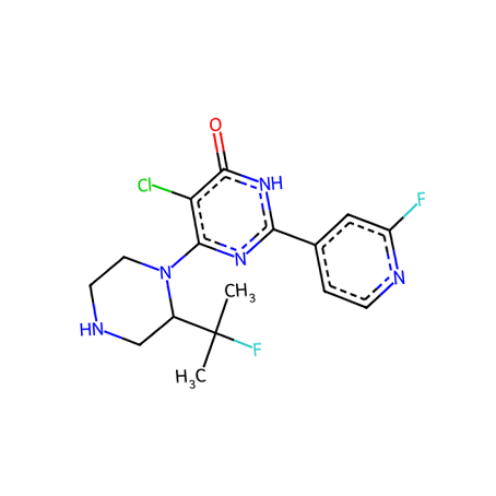 CC(C)(F)C1CNCCN1c1nc(-c2ccnc(F)c2)[nH]c(=O)c1Cl